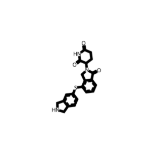 O=C1CCC(N2Cc3c(Sc4ccc5c(c4)CNC5)cccc3C2=O)C(=O)N1